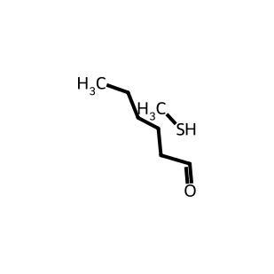 CCCCCC=O.CS